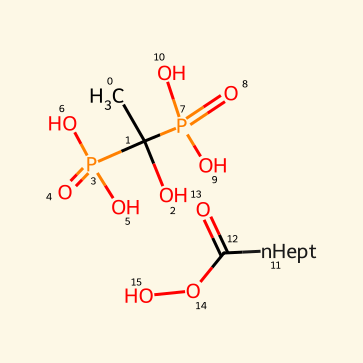 CC(O)(P(=O)(O)O)P(=O)(O)O.CCCCCCCC(=O)OO